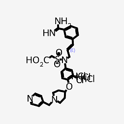 Cl.Cl.Cl.N=C(N)c1cccc(/C=C/CN(c2ccc(OC3CCN(Cc4ccncc4)CC3)c(Cl)c2)S(=O)(=O)CC(=O)O)c1